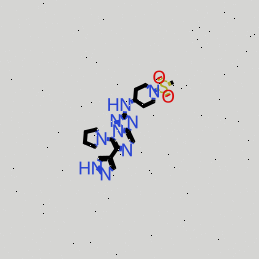 CS(=O)(=O)N1CCC(Nc2nc3cnc(-c4cn[nH]c4)c(N4CCCC4)n3n2)CC1